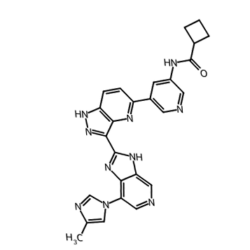 Cc1cn(-c2cncc3[nH]c(-c4n[nH]c5ccc(-c6cncc(NC(=O)C7CCC7)c6)nc45)nc23)cn1